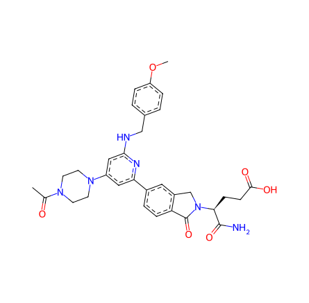 COc1ccc(CNc2cc(N3CCN(C(C)=O)CC3)cc(-c3ccc4c(c3)CN([C@@H](CCC(=O)O)C(N)=O)C4=O)n2)cc1